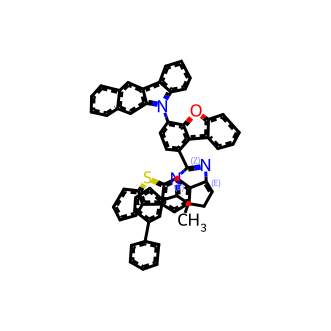 CC1C/C=C(c2ccc3c(c2)sc2ccccc23)/N=C(c2ccc(-n3c4ccccc4c4cc5ccccc5cc43)c3oc4ccccc4c23)\N=C/1c1cccc(-c2ccccc2)c1